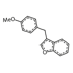 COc1ccc(Cc2[c]oc3ccccc23)cc1